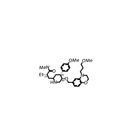 CC[C@@H](CC1C[C@H](c2ccc(OC)cc2)[C@@H](OCc2ccc3c(c2)N(CCCOC)CCO3)CN1)C(=O)NC